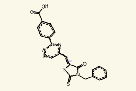 O=C(O)c1ccc(-c2nccc(/C=C3\SC(=S)N(Cc4ccccc4)C3=O)n2)cc1